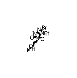 CCn1c(Br)nc2c1c(=O)n(CCCOPI)c(=O)n2C